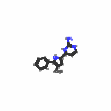 Nc1nccc(-c2cc(C(=O)O)c(-c3ccccc3)[nH]2)n1